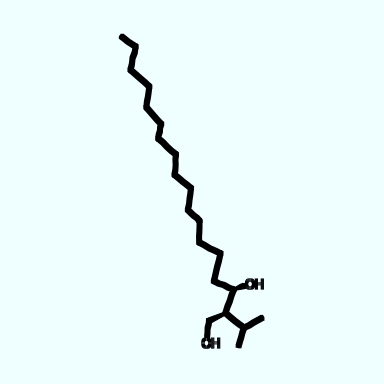 CCCCCCCCCCCCCCC[C@@H](O)[C@H](CO)C(C)C